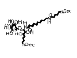 CCCCCCCCCCCCCCC(=O)NCCCCCCCCCC(=O)N[C@@H](CO[C@H]1O[C@H](CO)[C@H](O)[C@H](O)[C@H]1O)[C@H](O)[C@H](O)CCCCCCCCCCCCCC